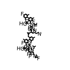 Cc1cc(C)c(-c2cc(C)c(F)c([C@H](CC(=O)O)NC(=O)[C@H](CC(C)C)n3nc(CCN4CC(F)C4)c(C(F)(F)F)cc3=O)c2)c(CC2CC2c2cc(CCN(C)C)nn([C@@H](CC(C)C)C(=O)N[C@@H](CC(=O)O)c3cc(-c4c(C)cc(F)cc4C)cc(C)c3F)c2=O)c1